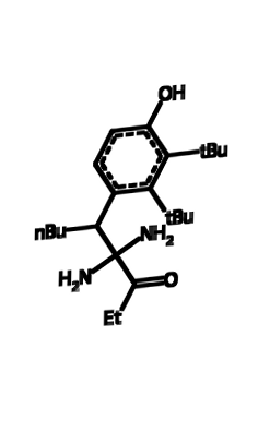 CCCCC(c1ccc(O)c(C(C)(C)C)c1C(C)(C)C)C(N)(N)C(=O)CC